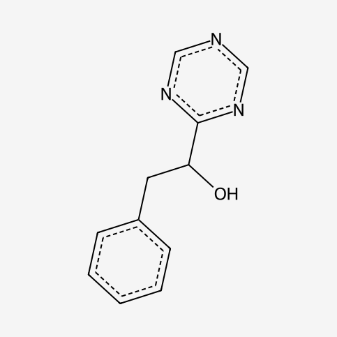 OC(Cc1ccccc1)c1ncncn1